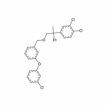 CCC(C)(COCc1cccc(Oc2cccc(Cl)c2)c1)c1ccc(Cl)c(Cl)c1